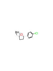 BC[C@H]1CC[C@@H](c2ccc(Cl)cc2)O1